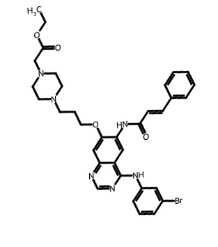 CCOC(=O)CN1CCN(CCCOc2cc3ncnc(Nc4cccc(Br)c4)c3cc2NC(=O)C=Cc2ccccc2)CC1